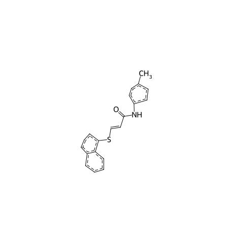 Cc1ccc(NC(=O)C=CSc2cccc3ccccc23)cc1